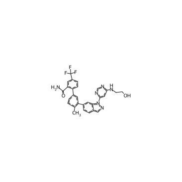 Cc1ccc(-c2ccc(C(F)(F)F)cc2C(N)=O)cc1-c1ccc2cnn(-c3cc(NCCO)ncn3)c2c1